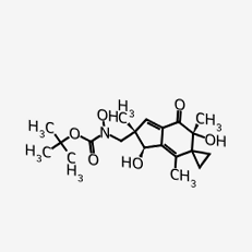 CC1=C2C(=C[C@@](C)(CN(O)C(=O)OC(C)(C)C)[C@@H]2O)C(=O)[C@](C)(O)C12CC2